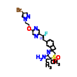 CC1(C)C(N)=N[C@@]2(Cc3ccc(/C=C(\F)c4cnc(OCCn5cc(Br)cn5)cn4)cc32)CS1(=O)=O